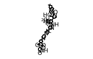 [2H]C([2H])([2H])n1cc(-c2ccnc(N3CCn4c(cc5c4CC(C)(C)C5)C3=O)c2CO)cc(Nc2ccc(N3CCN([C@@H]4CCN(c5ccc6c(c5)C(=O)N([C@H]5CCC(=O)NC5=O)C6=O)[C@@H](C)C4)C[C@@H]3C)cn2)c1=O